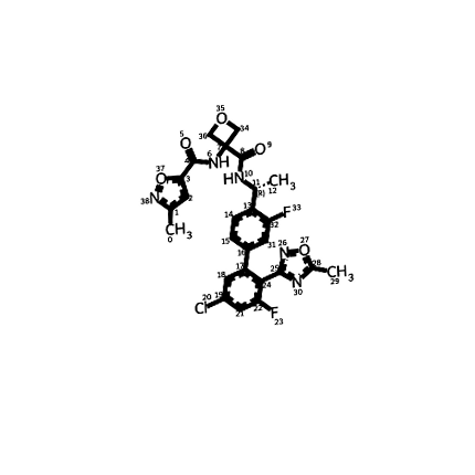 Cc1cc(C(=O)NC2(C(=O)N[C@H](C)c3ccc(-c4cc(Cl)cc(F)c4-c4noc(C)n4)cc3F)COC2)on1